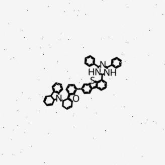 C1=CC2c3ccccc3N(C3CC=Cc4oc5c(-c6ccc7c(c6)sc6c(C8NC(c9ccccc9)=NC(c9ccccc9)N8)cccc67)cccc5c43)C2C=C1